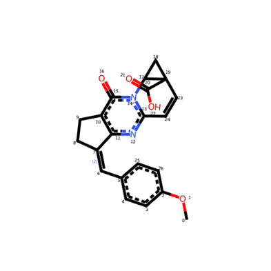 COc1ccc(/C=C2/CCc3c2nc2n(c3=O)C3CC3(C(=O)O)C=C2)cc1